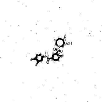 O=C(Nc1ccc(F)c(F)c1)c1ccc(F)c(S(=O)(=O)N2CCC[C@H](F)[C@H](O)C2)c1